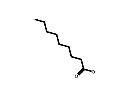 [CH2]CCCCCCCC([O])=O